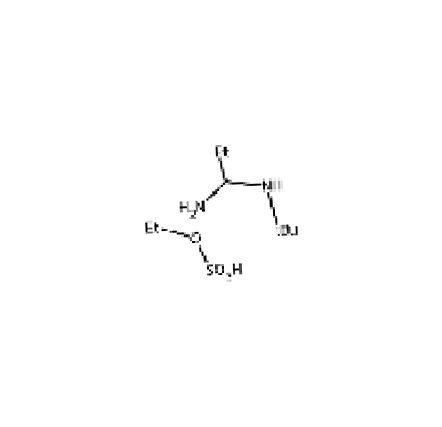 CCC(N)NC(C)(C)C.CCOS(=O)(=O)O